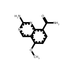 COc1ccc(C(N)=O)c2nc(N)ncc12